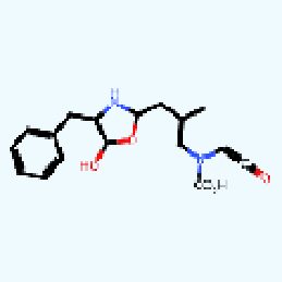 CC(CC1NC(Cc2ccccc2)C(O)O1)CN(C=C=O)C(=O)O